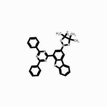 CC1(C)OB(c2cc(-c3nc(-c4ccccc4)nc(-c4ccccc4)n3)c3sc4ccccc4c3c2)OC1(C)C